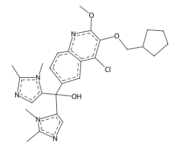 COc1nc2ccc(C(O)(c3cnc(C)n3C)c3cnc(C)n3C)cc2c(Cl)c1OCC1CCCC1